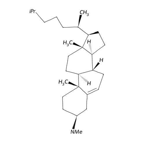 CN[C@H]1CC[C@@]2(C)C(=CC[C@H]3[C@@H]4CC[C@H]([C@H](C)CCCC(C)C)[C@@]4(C)CC[C@@H]32)C1